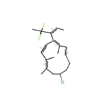 C\C=C(C1=C(C)\C=C\CCC(Cl)C/C(C)=C(C)/C=C\1)\C(C)(F)F